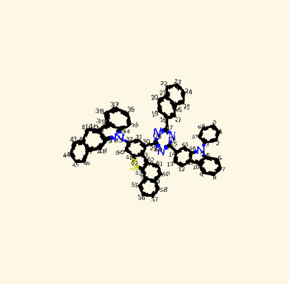 c1ccc(-n2c3ccccc3c3ccc(-c4nc(-c5ccc6ccccc6c5)nc(-c5cc(-n6c7ccccc7c7cc8ccccc8cc76)cc6sc7c8ccccc8ccc7c56)n4)cc32)cc1